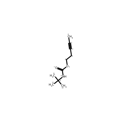 CC#CCCOC(=O)NC(C)(C)C